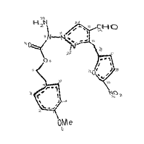 COc1ccc(COC(=O)N(N)n2cc(C=O)c(-c3ccc([N+](=O)[O-])o3)n2)cc1